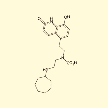 O=C(O)N(CCNC1CCCCCC1)CCc1ccc(O)c2[nH]c(=O)ccc12